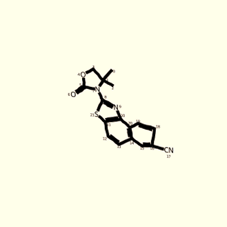 CC1(C)COC(=O)N1c1nc2c(ccc3cc(C#N)ccc32)s1